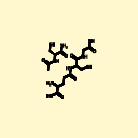 CC(=O)N[C@@H](CS)C(N)=O.NC(CCC(=O)NC(CS)C(=O)NCC(=O)O)C(=O)O